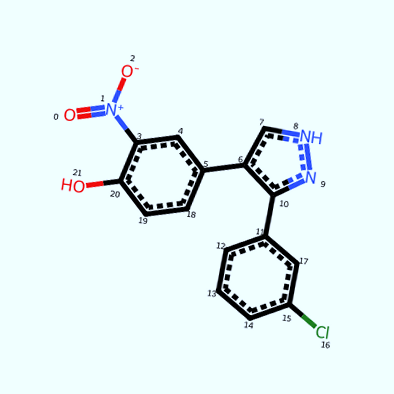 O=[N+]([O-])c1cc(-c2c[nH]nc2-c2cccc(Cl)c2)ccc1O